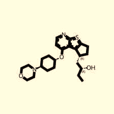 CC[C@@H](O)C[C@H]1CCc2sc3nccc(O[C@H]4CC[C@H](N5CCOCC5)CC4)c3c21